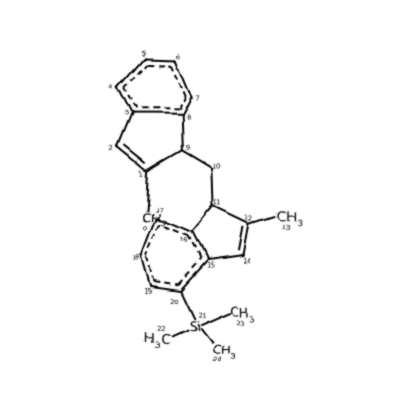 CC1=Cc2ccccc2C1CC1C(C)=Cc2c1cccc2[Si](C)(C)C